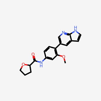 COc1cc(NC(=O)C2CCCO2)ccc1-c1cnc2[nH]ccc2c1